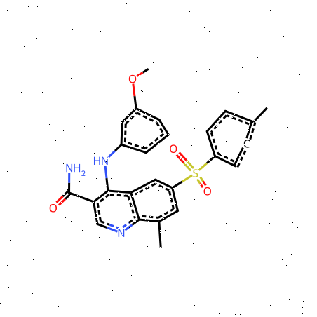 COc1cccc(Nc2c(C(N)=O)cnc3c(C)cc(S(=O)(=O)c4ccc(C)cc4)cc23)c1